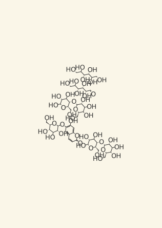 O=C[C@H](O)[C@@H](O)[C@H](O)[C@H](O)CO.O=c1ccc2cc(O[C@@H]3O[C@H](CO)[C@@H](O)[C@H](O)[C@H]3O)c(O)cc2o1.OC[C@@H](O)[C@@H](O)[C@H](O)[C@H](O)CO.OC[C@H]1O[C@@H](O[C@H]2[C@H](O)[C@@H](O)[C@H](O)O[C@@H]2CO)[C@H](O)[C@@H](O)[C@H]1O.OC[C@H]1O[C@H](O[C@H]2[C@H](O)[C@@H](O)[C@H](O)O[C@@H]2CO)[C@H](O)[C@@H](O)[C@@H]1O